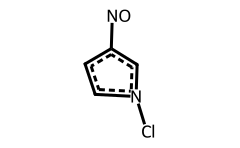 O=Nc1ccn(Cl)c1